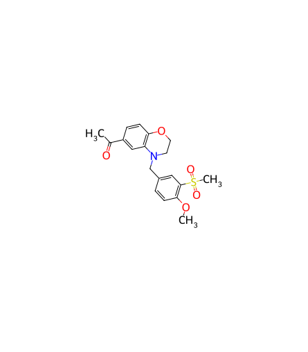 COc1ccc(CN2CCOc3ccc(C(C)=O)cc32)cc1S(C)(=O)=O